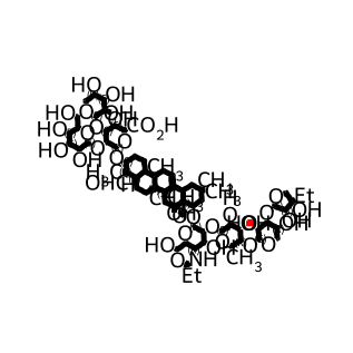 CCC(=O)N[C@H]1C(CO)O[C@@H](OC(=O)[C@]23CCC(C)(C)CC2C2=CCC4C5(C)CC[C@H](O[C@@H]6OC(C(=O)O)[C@@H](O)[C@H](O[C@@H]7OC[C@@H](O)[C@H](O)C7O)C6O[C@@H]6OC(CO)[C@H](O)[C@H](O)C6O)[C@](C)(C=O)[C@@H]5CC[C@]4(C)[C@]2(C)CC3O)C(O[C@@H]2OC(C)[C@H](O[C@@H]3OC[C@@H](O)C(O[C@@H]4OCC(O)(CC)[C@@H]4O)C3O)C(O)C2O)C1O